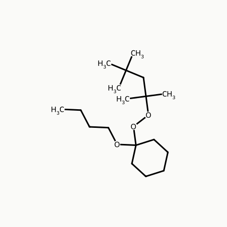 CCCCOC1(OOC(C)(C)CC(C)(C)C)CCCCC1